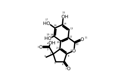 CC1(C(=O)O)CC(=O)c2oc(=O)c3cc(O)c(O)c(O)c3c21